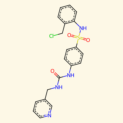 O=C(NCc1cccnc1)Nc1ccc(S(=O)(=O)Nc2ccccc2CCl)cc1